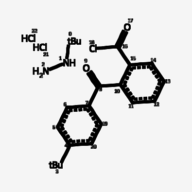 CC(C)(C)NN.CC(C)(C)c1ccc(C(=O)c2ccccc2C(=O)Cl)cc1.Cl.Cl